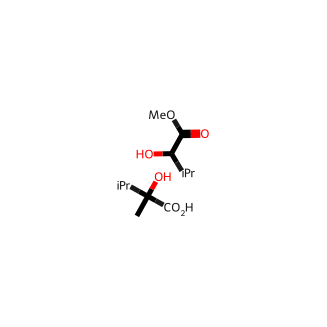 CC(C)C(C)(O)C(=O)O.COC(=O)C(O)C(C)C